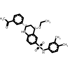 CCO[C@H]1C[C@@H](c2cccc(C(C)=O)c2)Nc2ccc(S(=O)(=O)Nc3ccc(C)c(C)c3)cc21